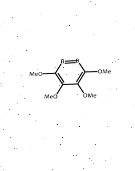 COc1bbc(OC)c(OC)c1OC